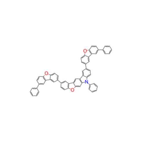 c1ccc(-c2ccc3oc4ccc(-c5ccc6oc7cc8c(cc7c6c5)c5cc(-c6ccc7oc9ccc(-c%10ccccc%10)cc9c7c6)ccc5n8-c5ccccc5)cc4c3c2)cc1